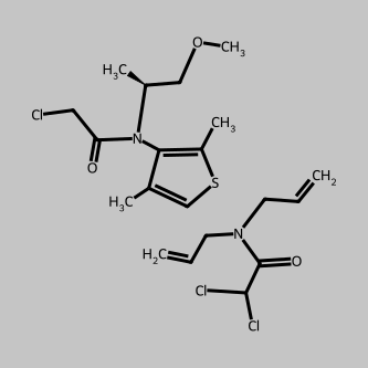 C=CCN(CC=C)C(=O)C(Cl)Cl.COC[C@H](C)N(C(=O)CCl)c1c(C)csc1C